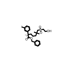 CC(C)(CCC[C@@](C)(C(=O)OCc1ccccc1)c1cccc(I)c1)CS(=O)(=O)CCO